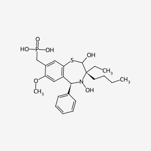 CCCC[C@]1(CC)C(O)Sc2cc(CP(=O)(O)O)c(OC)cc2[C@H](c2ccccc2)N1O